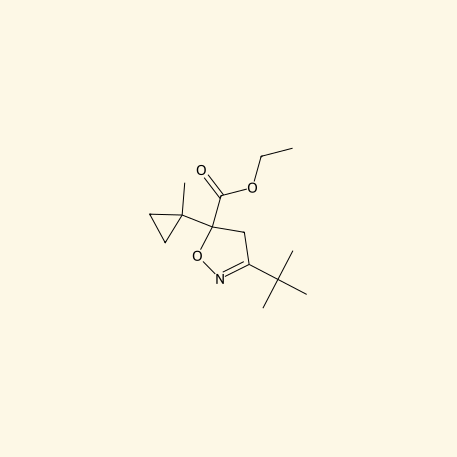 CCOC(=O)C1(C2(C)CC2)CC(C(C)(C)C)=NO1